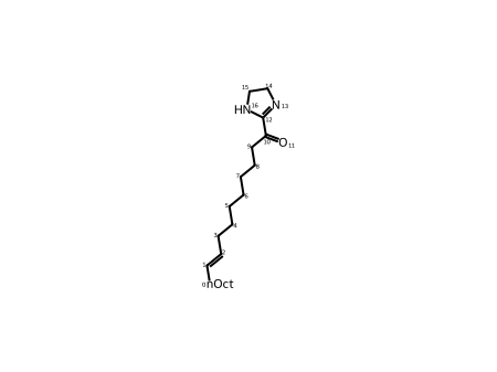 CCCCCCCCC=CCCCCCCCC(=O)C1=NCCN1